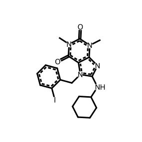 Cn1c(=O)c2c(nc(NC3CCCCC3)n2Cc2ccccc2I)n(C)c1=O